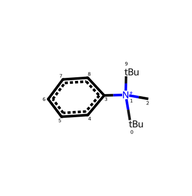 CC(C)(C)[N+](C)(c1ccccc1)C(C)(C)C